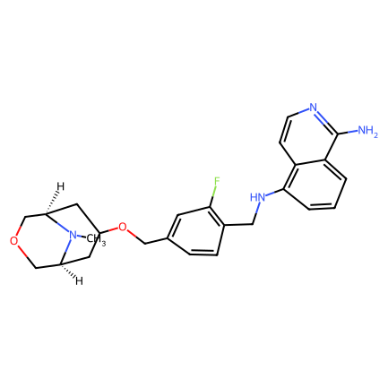 CN1[C@@H]2COC[C@H]1CC(OCc1ccc(CNc3cccc4c(N)nccc34)c(F)c1)C2